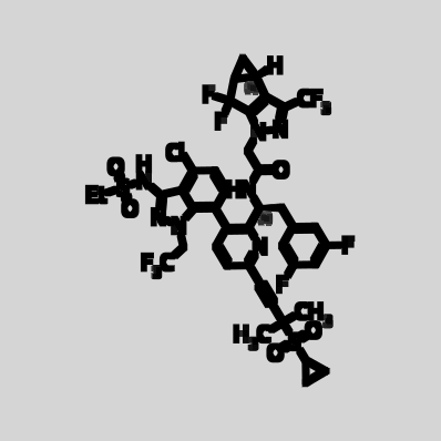 CCS(=O)(=O)Nc1nn(CC(F)(F)F)c2c(-c3ccc(C#CC(C)(C)S(=O)(=O)C4CC4)nc3[C@H](Cc3cc(F)cc(F)c3)NC(=O)Cn3nc(C(F)(F)F)c4c3C(F)(F)C3C[C@H]43)ccc(Cl)c12